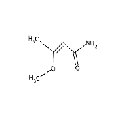 CO/C(C)=C\C(N)=O